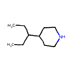 CCC(CC)C1CCNCC1